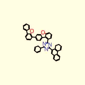 C1=CCC(c2nc(-c3cc4ccccc4c4c3CCC=C4)nc(-c3cccc4oc5cc(-c6cccc7c6oc6ccccc67)ccc5c34)n2)C=C1